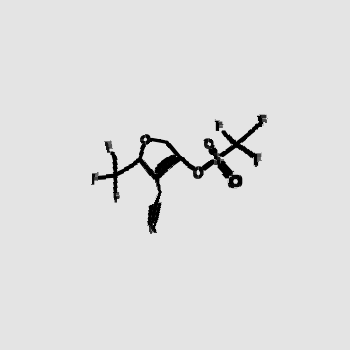 N#CC1=C(OS(=O)(=O)C(F)(F)F)COC1C(F)(F)F